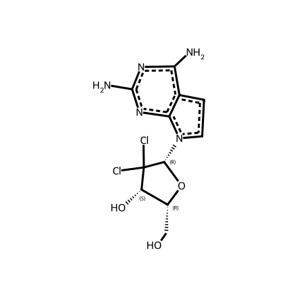 Nc1nc(N)c2ccn([C@@H]3O[C@H](CO)[C@H](O)C3(Cl)Cl)c2n1